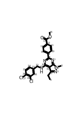 CCc1nn(C)c2nc(-c3ccc(C(=O)OC)cc3)nc(NCc3ccc(Cl)c(Cl)c3)c12